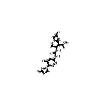 COC(C)c1c(NC(=O)Nc2cc(Cl)c(-n3cnc(C)n3)nn2)cnn2cc(C)nc12